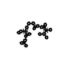 c1ccc(-c2cc(-c3ccccc3)cc(-c3nc(-c4ccccc4)nc(-n4c5ccccc5c5cc(-c6ccc7c(c6)c6ccccc6n7-c6cccc(-c7cccc(-c8ccc(-c9nc(-c%10ccc%11ccccc%11c%10)nc(-n%10c%11ccccc%11c%11cc(-c%12ccc%13c(c%12)c%12ccccc%12n%13-c%12ccccc%12)ccc%11%10)n9)cc8)c7)c6)ccc54)n3)c2)cc1